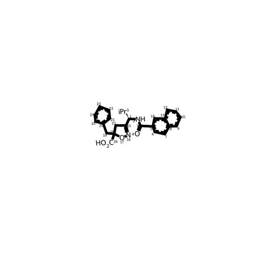 CC(C)[C@H](NC(=O)c1ccc2ccccc2c1)C1=NOC(Cc2ccccc2)(C(=O)O)C1